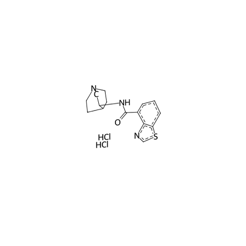 Cl.Cl.O=C(NC1CN2CCC1CC2)c1cccc2scnc12